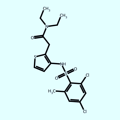 CCN(CC)C(=O)Cc1sccc1NS(=O)(=O)c1c(C)cc(Cl)cc1Cl